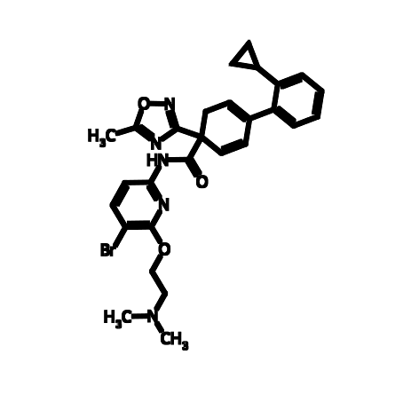 Cc1nc(C2(C(=O)Nc3ccc(Br)c(OCCN(C)C)n3)C=CC(c3ccccc3C3CC3)=CC2)no1